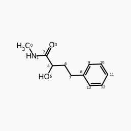 CNC(=O)C(O)CCc1ccccc1